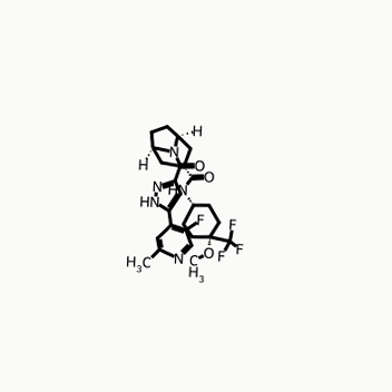 CO[C@]1(C(F)(F)F)CC[C@H](NC(=O)[C@@H]2C[C@H]3CC[C@@H](C2)N3C(=O)c2cc(-c3cc(C)ncc3F)[nH]n2)CC1